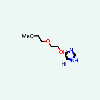 COCCOCCO.I.c1c[nH]cn1